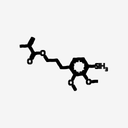 C=C(C)C(=O)OCCCc1ccc([SiH3])c(OC)c1OC